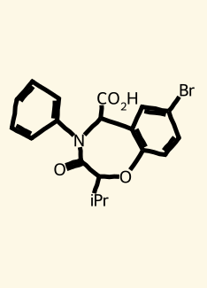 CC(C)C1Oc2ccc(Br)cc2C(C(=O)O)N(c2ccccc2)C1=O